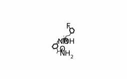 CC(C(N)=O)c1cccc(CNC[C@H](O)[CH]Cc2cccc(F)c2)c1